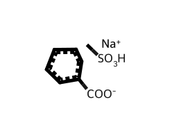 CS(=O)(=O)O.O=C([O-])c1ccccc1.[Na+]